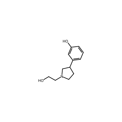 OCCN1CCC(c2cccc(O)c2)C1